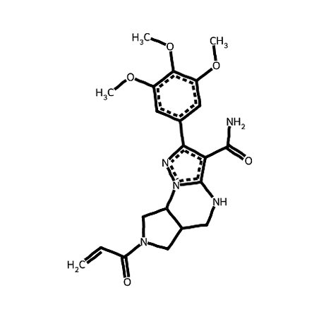 C=CC(=O)N1CC2CNc3c(C(N)=O)c(-c4cc(OC)c(OC)c(OC)c4)nn3C2C1